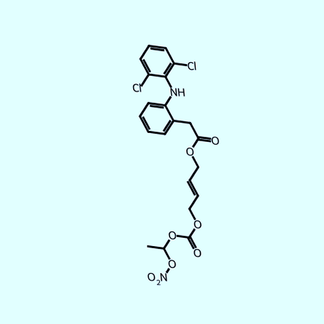 CC(OC(=O)OCC=CCOC(=O)Cc1ccccc1Nc1c(Cl)cccc1Cl)O[N+](=O)[O-]